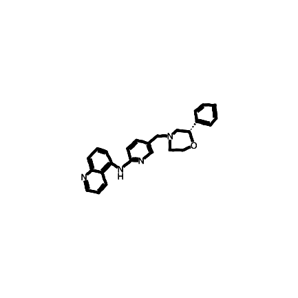 c1ccc([C@H]2CN(Cc3ccc(Nc4cccc5ncccc45)nc3)CCO2)cc1